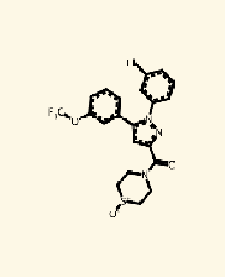 O=C(c1cc(-c2cccc(OC(F)(F)F)c2)n(-c2cccc(Cl)c2)n1)N1CC[S+]([O-])CC1